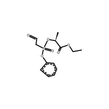 CCOC(=O)[C@H](C)OP(=O)(CC=O)Oc1ccccc1